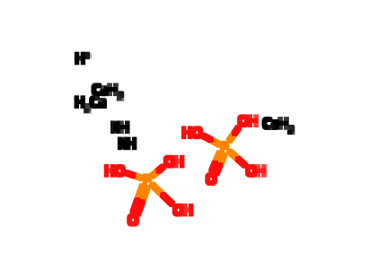 O=P(O)(O)O.O=P(O)(O)O.[CaH2].[CaH2].[CaH2].[H+].[KH].[KH]